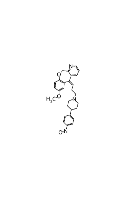 COc1ccc2c(c1)C(=CCCN1CCC(c3ccc(N=O)cc3)CC1)c1cccnc1CO2